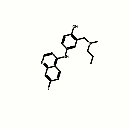 CCCN(C)Cc1cc(Nc2ccnc3cc(I)ccc23)ccc1O